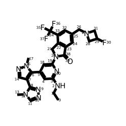 CCNc1cc(-c2c(-c3nncn3C)cnn2C)cc(N2Cc3c(cc(CN4CC(F)C4)cc3C(F)(F)F)C2=O)n1